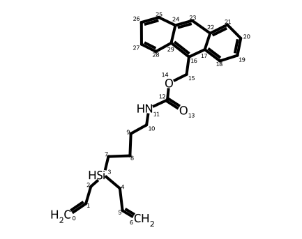 C=CC[SiH](CC=C)CCCCNC(=O)OCc1c2ccccc2cc2ccccc12